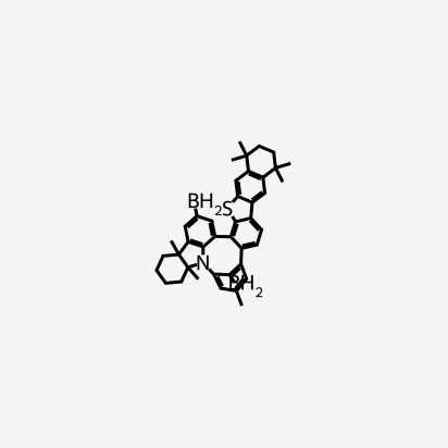 Bc1cc2c3c(c1)C1(C)CCCCC1(C)N3c1cc(C)cc(c1B)-c1ccc3c(sc4cc5c(cc43)C(C)(C)CCC5(C)C)c1-2